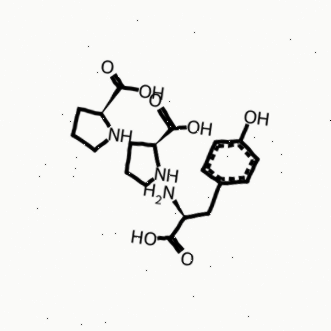 N[C@@H](Cc1ccc(O)cc1)C(=O)O.O=C(O)[C@@H]1CCCN1.O=C(O)[C@@H]1CCCN1